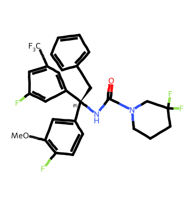 COc1cc([C@@](Cc2ccccc2)(NC(=O)N2CCCC(F)(F)C2)c2cc(F)cc(C(F)(F)F)c2)ccc1F